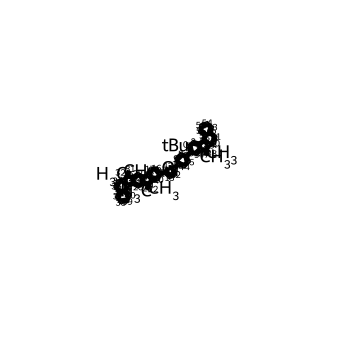 CC(C)(C)c1cc2c(cc1-c1ccc(-c3ccc(-c4ccc5c(c4)C(C)(C)c4cc6c(cc4-5)C(C)(C)c4ccc5ccccc5c4-6)o3)cc1)C(C)(C)c1ccc3ccccc3c1-2